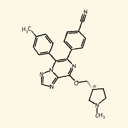 Cc1ccc(-c2c(-c3ccc(C#N)cc3)nc(OC[C@@H]3CCN(C)C3)c3ncnn23)cc1